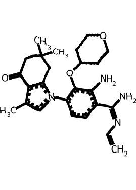 C=C/N=C(/N)c1ccc(-n2cc(C)c3c2CC(C)(C)CC3=O)c(OC2CCOCC2)c1N